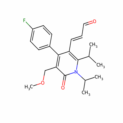 COCc1c(-c2ccc(F)cc2)c(C=CC=O)c(C(C)C)n(C(C)C)c1=O